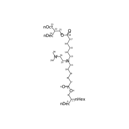 CCCCCCCCCCC(CCCCCC)COC(=O)CCCCCN(CCCCCC(=O)OCC(CCCCCCCC)CCCCCCCCCC)CCN(C)C